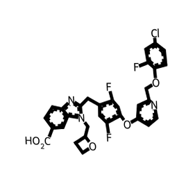 O=C(O)c1ccc2nc(Cc3cc(F)c(Oc4ccnc(COc5ccc(Cl)cc5F)c4)cc3F)n(CC3CCO3)c2c1